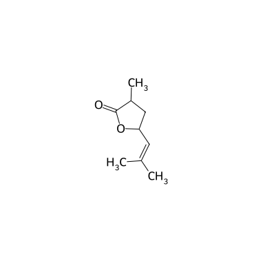 CC(C)=CC1CC(C)C(=O)O1